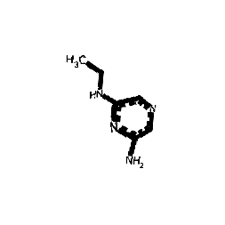 CCNc1cncc(N)n1